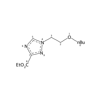 CCCCOCCn1cnc(C(=O)OCC)n1